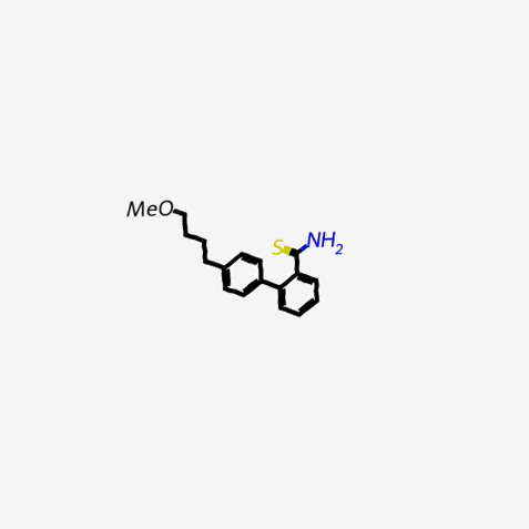 COCCCCc1ccc(-c2ccccc2C(N)=S)cc1